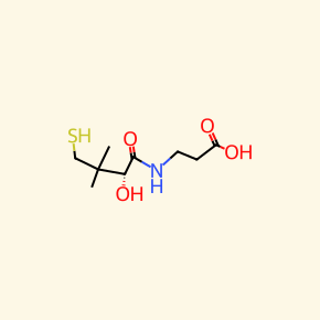 CC(C)(CS)[C@@H](O)C(=O)NCCC(=O)O